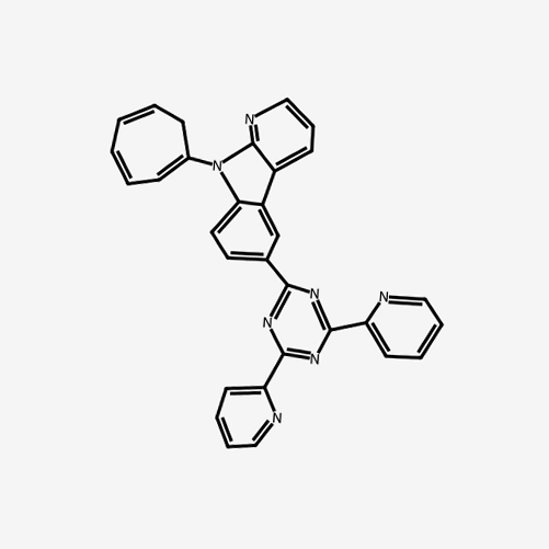 C1=CC=C(n2c3ccc(-c4nc(-c5ccccn5)nc(-c5ccccn5)n4)cc3c3cccnc32)CC=C1